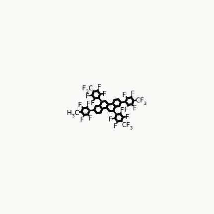 Cc1c(F)c(F)c(-c2ccc3c(c2)c(-c2c(F)c(F)c(C(F)(F)F)c(F)c2F)cc2c4ccc(-c5c(F)c(F)c(C(F)(F)F)c(F)c5F)cc4c(-c4c(F)c(F)c(C(F)(F)F)c(F)c4F)cc32)c(F)c1F